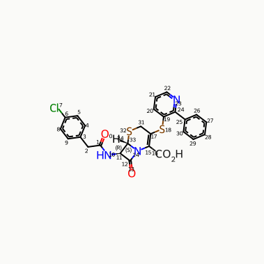 O=C(Cc1ccc(Cl)cc1)N[C@@H]1C(=O)N2C(C(=O)O)=C(Sc3cccnc3-c3ccccc3)CS[C@@H]12